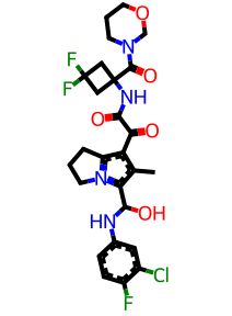 Cc1c(C(=O)C(=O)NC2(C(=O)N3CCCOC3)CC(F)(F)C2)c2n(c1C(O)Nc1ccc(F)c(Cl)c1)CCC2